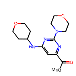 COC(=O)c1cc(NC2CCOCC2)nc(N2CCOCC2)n1